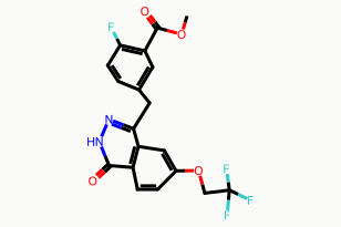 COC(=O)c1cc(Cc2n[nH]c(=O)c3ccc(OCC(F)(F)F)cc23)ccc1F